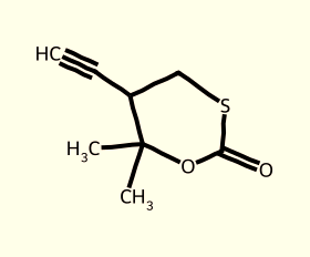 C#CC1CSC(=O)OC1(C)C